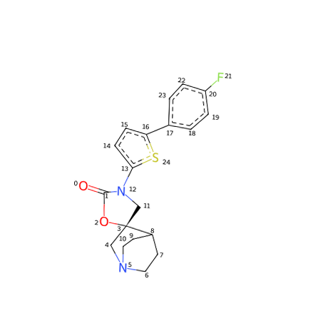 O=C1O[C@]2(CN3CCC2CC3)CN1c1ccc(-c2ccc(F)cc2)s1